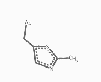 CC(=O)Cc1cnc(C)s1